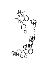 Cc1nnc2n1-c1ccc(-c3cnn(CCCCCn4cc(CNc5cccc6c5C(=O)N(C5CCC(=O)NC5=O)C6=O)nn4)c3)cc1C(c1ccc(Cl)cc1)=NC21CC1